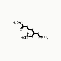 CCCC(CN)CCCC(=O)OC.Cl